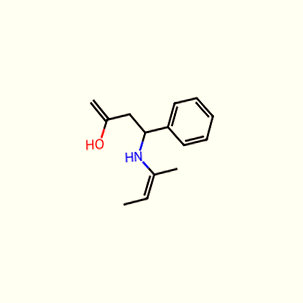 C=C(O)CC(N/C(C)=C\C)c1ccccc1